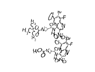 CC(Nc1c([N+](=O)[O-])cnc2c(F)c(Br)c(Cl)cc12)C1CN(C(=O)O)C1.CC(Nc1c([N+](=O)[O-])cnc2c(F)c(Br)c(Cl)cc12)C1CN(C(=O)OC(C)(C)C)C1